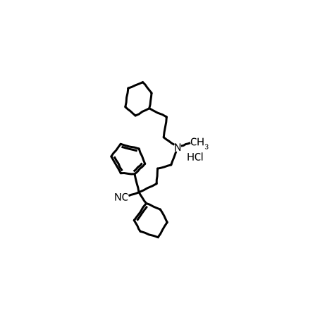 CN(CCCC(C#N)(C1=CCCCC1)c1ccccc1)CCC1CCCCC1.Cl